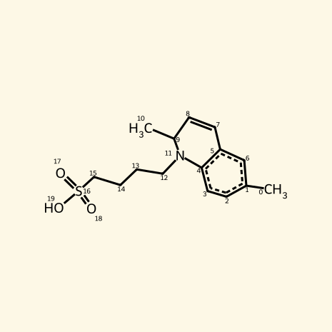 Cc1ccc2c(c1)C=CC(C)N2CCCCS(=O)(=O)O